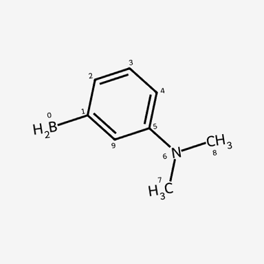 Bc1cccc(N(C)C)c1